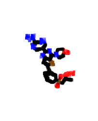 CC(O)CS(=O)(=O)c1cccc(-c2cc3nc(-c4cnc(N)nc4)nc(N4CCOCC4)c3s2)c1